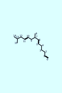 C=CCCCC=CC(C)CC=CCC(C)C